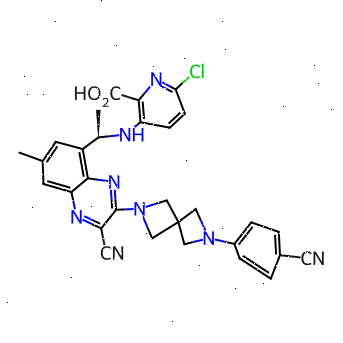 Cc1cc([C@@H](C)Nc2ccc(Cl)nc2C(=O)O)c2nc(N3CC4(CN(c5ccc(C#N)cc5)C4)C3)c(C#N)nc2c1